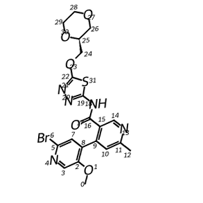 COc1cnc(Br)cc1-c1cc(C)ncc1C(=O)Nc1nnc(OC[C@@H]2COCCO2)s1